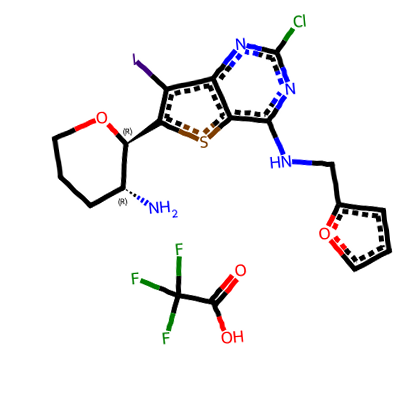 N[C@@H]1CCCO[C@H]1c1sc2c(NCc3ccco3)nc(Cl)nc2c1I.O=C(O)C(F)(F)F